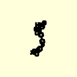 CC(C)(C)OC(=O)N1CCC(CN2CCC(c3ccc4c(c3)oc(=O)n4C3CCC(=O)NC3=O)CC2)CC1